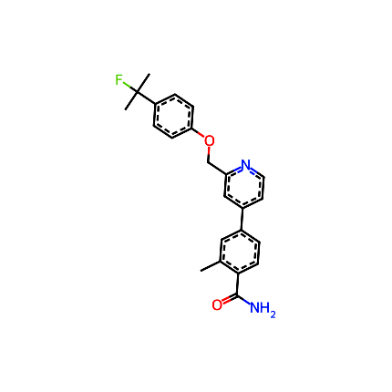 Cc1cc(-c2ccnc(COc3ccc(C(C)(C)F)cc3)c2)ccc1C(N)=O